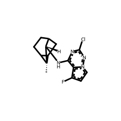 C[C@@]12C3CCC(CC31)[C@@H]2Nc1nc(Cl)nn2ccc(F)c12